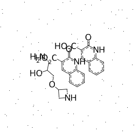 NCC(O)COC1CNC1.O=C(O)c1cc2ccccc2[nH]c1=O.O=C(O)c1cc2ccccc2[nH]c1=O